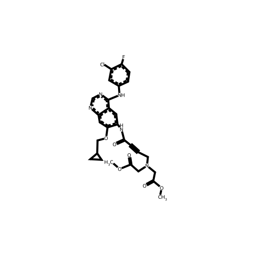 COC(=O)CN(CC#CC(=O)Nc1cc2c(Nc3ccc(F)c(Cl)c3)ncnc2cc1OCC1CC1)CC(=O)OC